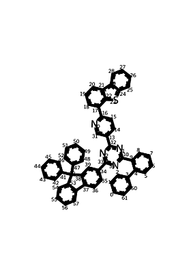 c1ccc(-c2ccccc2-c2nc(-c3ccc(-c4cccc5c4sc4ccccc45)nc3)nc(-c3ccc4c(c3)C(c3ccccc3)(c3ccccc3)c3ccccc3-4)n2)cc1